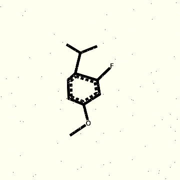 COc1[c]cc(C(C)C)c(F)c1